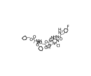 CC(NP(OCC1OC(n2cnc3c(NC(=O)C(N)Cc4ccc(F)cc4)nc(Cl)nc32)[C@H](F)C1O)Oc1ccccc1)C(=O)OCc1ccccc1